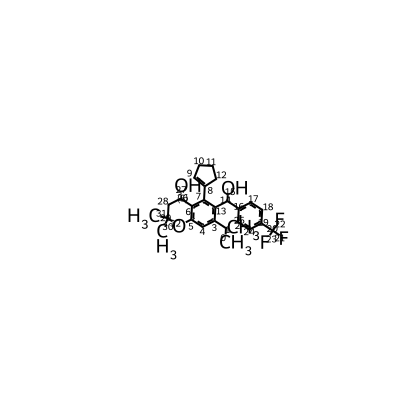 CC(C)c1cc2c(c(C3=CCCC3)c1C(O)c1ccc(C(F)(F)F)cc1)[C@@H](O)CC(C)(C)O2